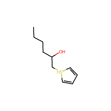 CCCCC(O)C[SH]1C=CC=C1